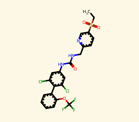 CCS(=O)(=O)c1ccc(CNC(=O)Nc2cc(Cl)c(-c3ccccc3OC(F)(F)F)c(Cl)c2)nc1